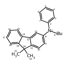 CCC(C)N(c1ccccc1)c1ccc2c(c1)-c1ccccc1C2(C)C